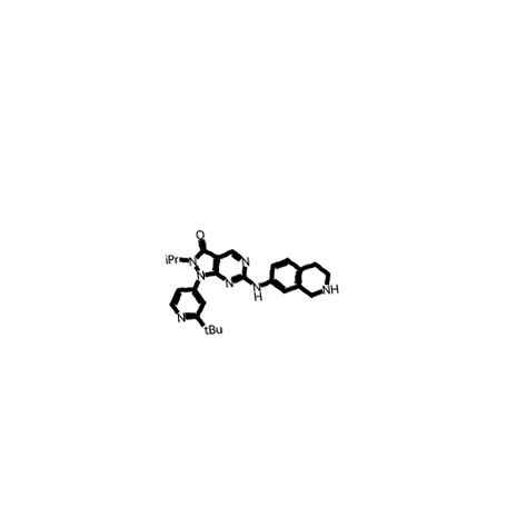 CC(C)n1c(=O)c2cnc(Nc3ccc4c(c3)CNCC4)nc2n1-c1ccnc(C(C)(C)C)c1